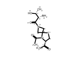 CC(=O)N1[C@H](C(N)=O)CSC12CN(C(=O)[C@@H](N)[C@@H](C)O)C2